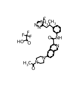 CC(=O)N1CCN(c2ccc3cnc(C(=O)Nc4cccc([C@H](C)Cc5nncn5C)c4)cc3c2)CC1.O=C(O)C(F)(F)F